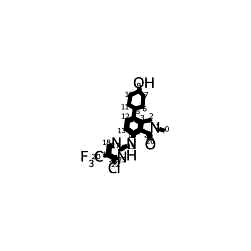 CN1Cc2c(C3CCC(O)CC3)ccc(Nc3ncc(C(F)(F)F)c(Cl)n3)c2C1=O